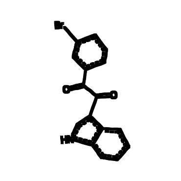 O=C(C(=O)c1c[nH]c2ccccc12)c1cccc(Br)c1